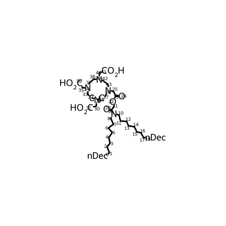 CCCCCCCCCCCCCCCCCCN(CCCCCCCCCCCCCCCCCC)C(=O)COC(=O)CN1CCN(CC(=O)O)CCN(CC(=O)O)CCN(CC(=O)O)CC1